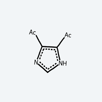 CC(=O)c1nc[nH]c1C(C)=O